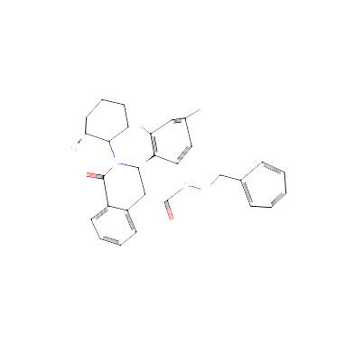 N[C@H]1CCCCC1N1C(=O)c2ccccc2[C@@H](C(=O)NOCc2ccccc2)[C@@H]1c1ccc(Cl)cc1Cl